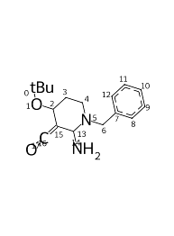 CC(C)(C)OC1CCN(Cc2ccccc2)C(N)C1=C=O